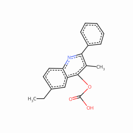 CCc1ccc2nc(-c3ccccc3)c(C)c(OC(=O)O)c2c1